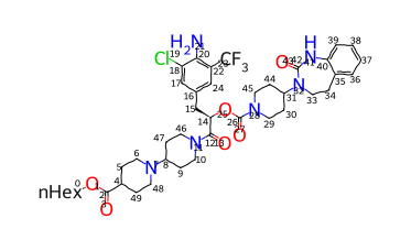 CCCCCCOC(=O)C1CCN(C2CCN(C(=O)[C@@H](Cc3cc(Cl)c(N)c(C(F)(F)F)c3)OC(=O)N3CCC(N4CCc5ccccc5NC4=O)CC3)CC2)CC1